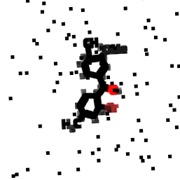 COc1cc(C(=O)c2ccc(C)cc2Br)ccc1C